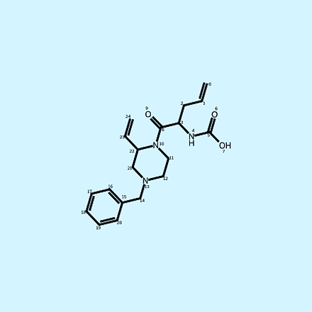 C=CCC(NC(=O)O)C(=O)N1CCN(Cc2ccccc2)CC1C=C